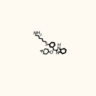 CN1CCC(OC(c2cccc(SCCCCCCN)c2)c2nc3ccccc3[nH]2)CC1